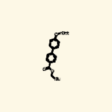 CCCCCCCCOc1ccc(-c2ccc(C(=O)OCC(C)CC)cc2)cc1